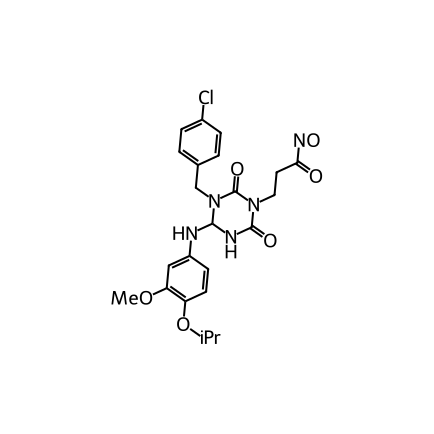 COc1cc(NC2NC(=O)N(CCC(=O)N=O)C(=O)N2Cc2ccc(Cl)cc2)ccc1OC(C)C